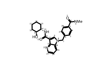 CNC(=O)c1ccc(Cn2cc(C(=O)N[C@H]3CCCC[C@@H]3O)c3ncccc32)cc1